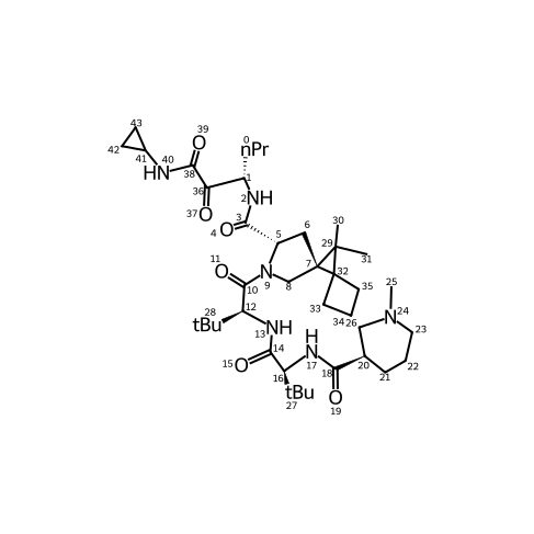 CCC[C@H](NC(=O)[C@@H]1C[C@@]2(CN1C(=O)[C@@H](NC(=O)[C@@H](NC(=O)[C@@H]1CCCN(C)C1)C(C)(C)C)C(C)(C)C)C(C)(C)C21CCC1)C(=O)C(=O)NC1CC1